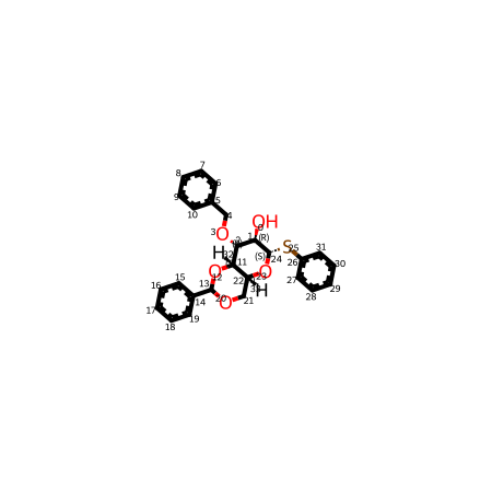 O[C@@H]1[C@@H](OCc2ccccc2)[C@H]2OC(c3ccccc3)OC[C@H]2O[C@H]1Sc1ccccc1